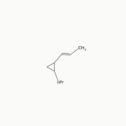 CC=CC1CC1CCC